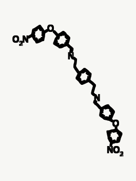 O=[N+]([O-])c1ccc(Oc2ccc(C=NCCc3ccc(CCN=Cc4ccc(Oc5ccc([N+](=O)[O-])cc5)cc4)cc3)cc2)cc1